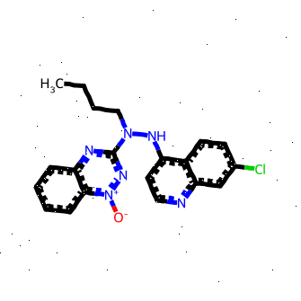 CCCCN(Nc1ccnc2cc(Cl)ccc12)c1nc2ccccc2[n+]([O-])n1